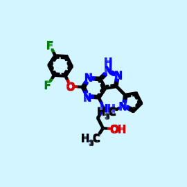 CC(O)CNc1nc(Oc2ccc(F)cc2F)nc2[nH]nc(-c3cccn3C)c12